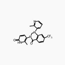 Cc1ncccc1N1CN(c2ccc(=O)[nH]c2C)C(=O)c2ccc(C(F)(F)F)cc21